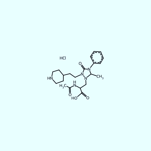 CC(=O)NC(CN1C(C)N(c2ccccc2)C(=O)N1CCC1CCNCC1)C(=O)O.Cl